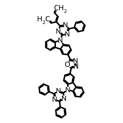 C=C/C=C(\C=C)c1nc(-c2ccccc2)nc(-n2c3ccccc3c3cc(-c4nnc(-c5ccc6c(c5)c5ccccc5n6-c5nc(-c6ccccc6)nc(-c6ccccc6)n5)o4)ccc32)n1